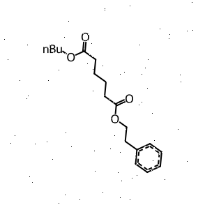 CCCCOC(=O)CCCCC(=O)OCCc1ccccc1